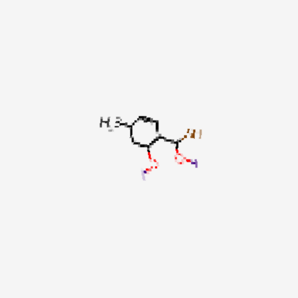 BC1C=CC(C(S)OI)C(OI)C1